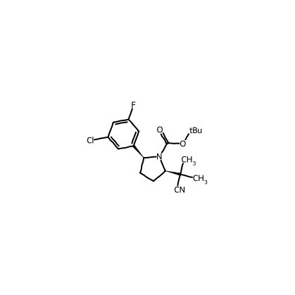 CC(C)(C)OC(=O)N1[C@H](c2cc(F)cc(Cl)c2)CC[C@@H]1C(C)(C)C#N